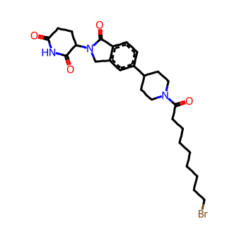 O=C1CCC(N2Cc3cc(C4CCN(C(=O)CCCCCCCCBr)CC4)ccc3C2=O)C(=O)N1